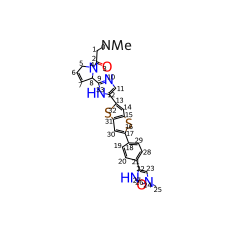 CNCC(=O)N1CC=CC1c1ncc(-c2cc3sc(-c4ccc(C5=CN(C)ON5)cc4)cc3s2)[nH]1